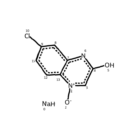 [NaH].[O-][n+]1cc(O)nc2cc(Cl)ccc21